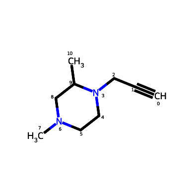 C#CCN1CCN(C)CC1C